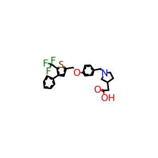 O=C(O)CC1CCN(Cc2ccc(OCc3cc(-c4ccccc4)c(C(F)(F)F)s3)cc2)C1